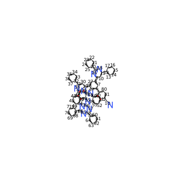 N#Cc1ccc(-c2cc(-c3cc(-c4ccccc4)nc(-c4ccccc4)n3)cc(-c3cc(-c4ccccc4)nc(-c4ccccc4)n3)c2N2c3ccccc3N(c3nc(-c4ccccc4)nc(-c4ccccc4)n3)c3ccccc32)cc1